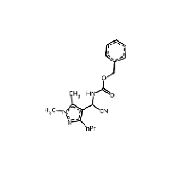 CCCc1nn(C)c(C)c1C(C#N)NC(=O)OCc1ccccc1